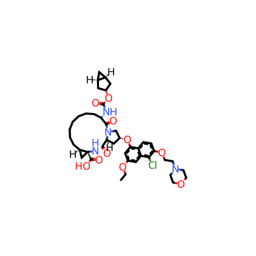 CCOc1cc(O[C@@H]2C[C@H]3C(=O)N[C@]4(C(=O)O)C[C@H]4CCCCCCC[C@H](NC(=O)O[C@@H]4C[C@@H]5C[C@@H]5C4)C(=O)N3C2)c2ccc(OCCN3CCOCC3)c(Cl)c2c1